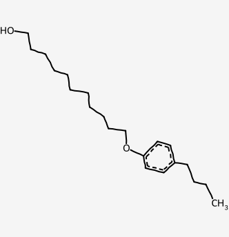 CCCCc1ccc(OCCCCCCCCCCCO)cc1